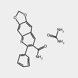 NC(=O)c1cc2cc3c(cc2nc1-c1ccccc1)OCO3.NC(N)=O